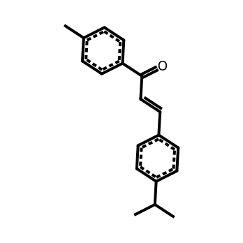 Cc1ccc(C(=O)C=Cc2ccc(C(C)C)cc2)cc1